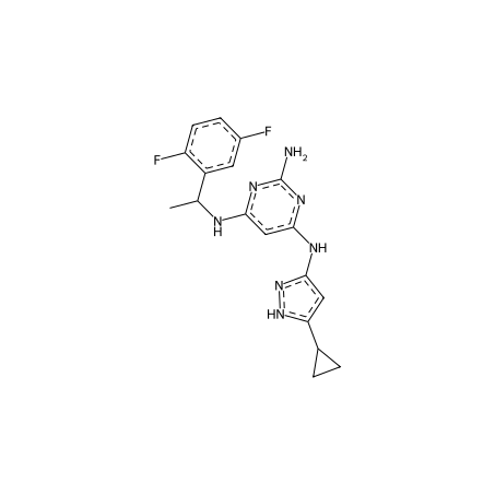 CC(Nc1cc(Nc2cc(C3CC3)[nH]n2)nc(N)n1)c1cc(F)ccc1F